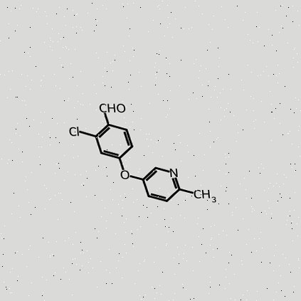 Cc1ccc(Oc2ccc(C=O)c(Cl)c2)cn1